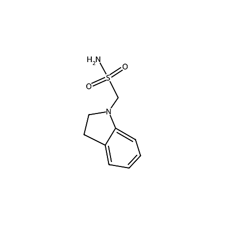 NS(=O)(=O)CN1CCc2ccccc21